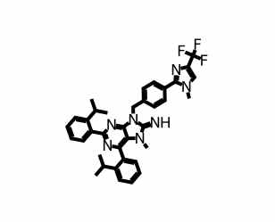 CC(C)c1ccccc1-c1nc(-c2ccccc2C(C)C)c2c(n1)n(Cc1ccc(-c3nc(C(F)(F)F)cn3C)cc1)c(=N)n2C